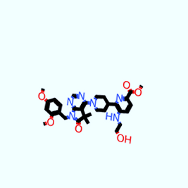 COC(=O)c1ccc(NCCO)c(C2CCN(c3ncnc4c3C(C)(C)C(=O)N4Cc3ccc(OC)cc3OC)CC2)n1